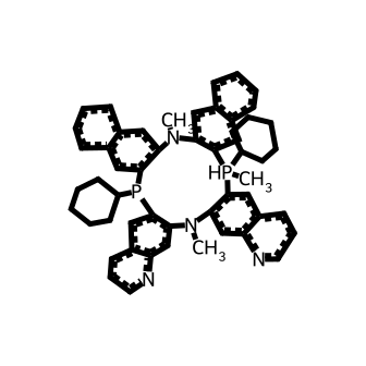 CN1c2cc3ccccc3cc2P(C2CCCCC2)c2cc3cccnc3cc2N(C)c2cc3ncccc3cc2[PH](C)(C2CCCCC2)c2cc3ccccc3cc21